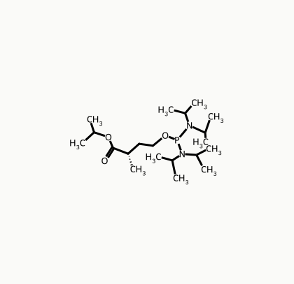 CC(C)OC(=O)[C@@H](C)CCOP(N(C(C)C)C(C)C)N(C(C)C)C(C)C